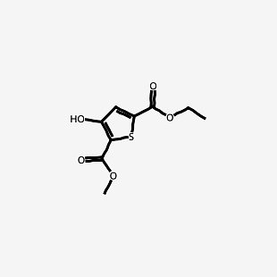 CCOC(=O)c1cc(O)c(C(=O)OC)s1